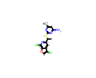 CC(Sc1nc(N)cc(C#N)n1)c1cc2c(Cl)coc2c(Cl)n1